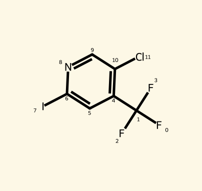 FC(F)(F)c1cc(I)ncc1Cl